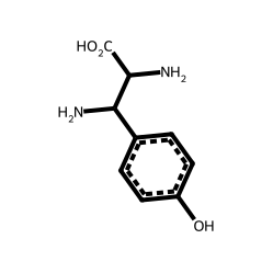 NC(C(=O)O)C(N)c1ccc(O)cc1